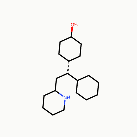 O[C@H]1CC[C@H](C(CC2CCCCN2)C2CCCCC2)CC1